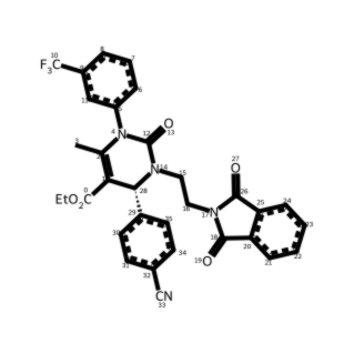 CCOC(=O)C1=C(C)N(c2cccc(C(F)(F)F)c2)C(=O)N(CCN2C(=O)c3ccccc3C2=O)[C@@H]1c1ccc(C#N)cc1